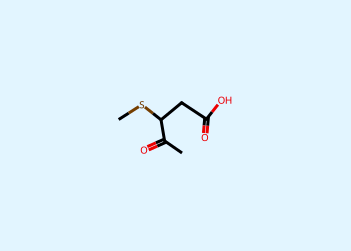 CSC(CC(=O)O)C(C)=O